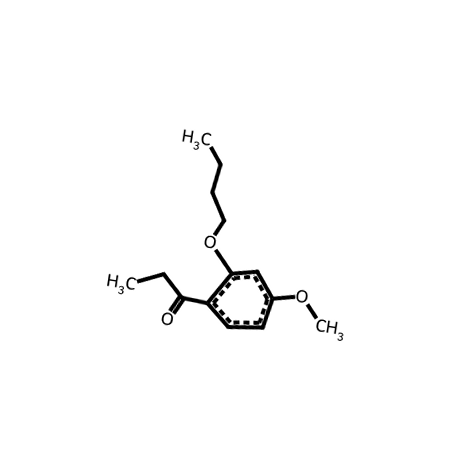 CCCCOc1cc(OC)ccc1C(=O)CC